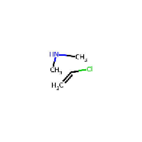 C=CCl.CNC